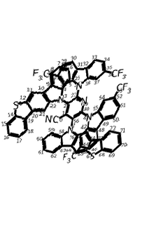 N#Cc1c(-n2c3ccccc3c3cc4sc5ccccc5c4cc32)c(-n2c3cc(C(F)(F)F)ccc3c3ccc(C(F)(F)F)cc32)nc(-n2c3cc(C(F)(F)F)ccc3c3ccc(C(F)(F)F)cc32)c1-n1c2ccccc2c2cc3sc4ccccc4c3cc21